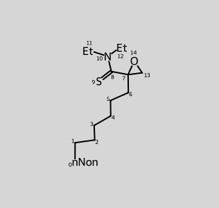 CCCCCCCCCCCCCCCC1(C(=S)N(CC)CC)CO1